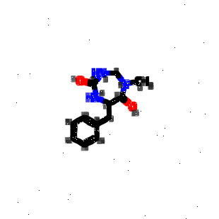 CN1CNC(=O)NC(Cc2ccccc2)C1=O